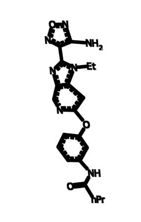 CCCC(=O)Nc1cccc(Oc2cc3c(cn2)nc(-c2nonc2N)n3CC)c1